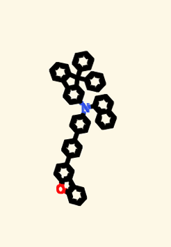 c1ccc(C2(c3ccccc3)c3ccccc3-c3ccc(N(c4ccc(-c5ccc(-c6ccc7oc8ccccc8c7c6)cc5)cc4)c4cccc5ccccc45)cc32)cc1